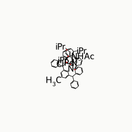 CC(=O)Nc1cccc[c]1[Pd-2]([Cl])=[c]1n(-c2c(C(c3ccccc3)c3ccccc3)cc(C)cc2C(c2ccccc2)c2ccccc2)cc2cccc(-c3c(C(C)C)cc(C(C)C)cc3C(C)C)n12